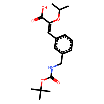 CC(C)OC(=Cc1cccc(CNC(=O)OC(C)(C)C)c1)C(=O)O